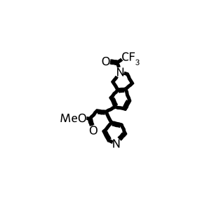 COC(=O)C=C(c1ccncc1)c1ccc2c(c1)CN(C(=O)C(F)(F)F)CC2